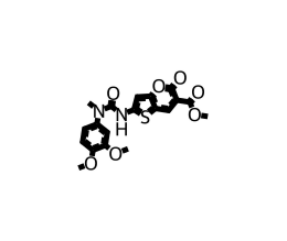 COC(=O)c1cc2sc(NC(=O)N(C)c3ccc(OC)c(OC)c3)cc2oc1=O